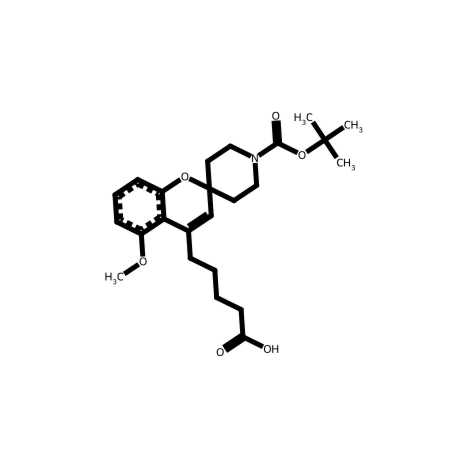 COc1cccc2c1C(CCCCC(=O)O)=CC1(CCN(C(=O)OC(C)(C)C)CC1)O2